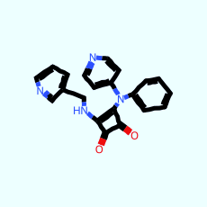 O=c1c(NCc2cccnc2)c(N(c2ccccc2)c2ccncc2)c1=O